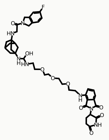 O=C1CCC(N2C(=O)c3cccc(NCCOCCOCCOCCNC(O)NC45CC6CC(C4)C(NCC(=O)N4Cc7ccc(F)cc7C4)(C6)C5)c3C2=O)C(=O)N1